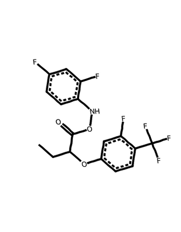 CCC(Oc1ccc(C(F)(F)F)c(F)c1)C(=O)ONc1ccc(F)cc1F